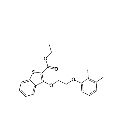 CCOC(=O)c1sc2ccccc2c1OCCOc1cccc(C)c1C